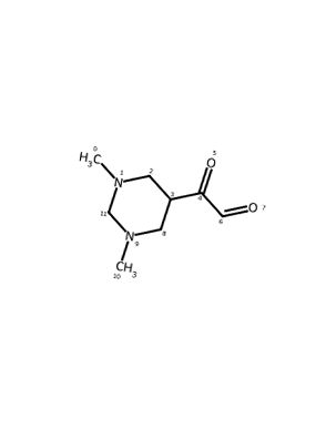 CN1CC(C(=O)C=O)CN(C)C1